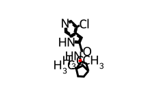 CC1(C)C2CCC1(C)C(NC(=O)c1cc3c(Cl)cncc3[nH]1)C2